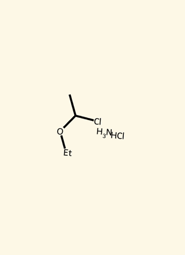 CCOC(C)Cl.Cl.N